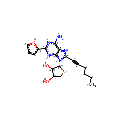 CCCCC#Cc1nc2c(N)nc(-c3ccco3)nc2n1[C@@H]1SC[C@@H](O)[C@H]1O